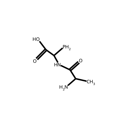 CC(N)C(=O)NC(P)C(=O)O